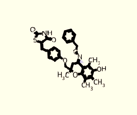 Cc1c(C)c2c(c(C)c1O)/C(=N/OCc1ccccc1)CC(C)(COc1ccc(CC3SC(=O)NC3=O)cc1)O2